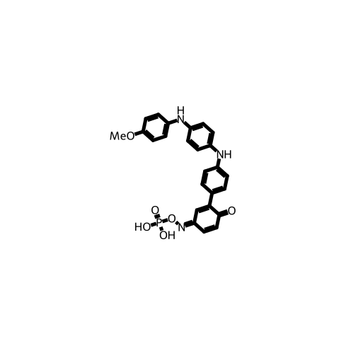 COc1ccc(Nc2ccc(Nc3ccc(C4=CC(=NOP(=O)(O)O)C=CC4=O)cc3)cc2)cc1